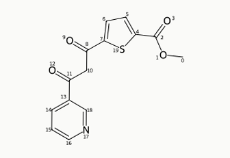 COC(=O)c1ccc(C(=O)CC(=O)c2cccnc2)s1